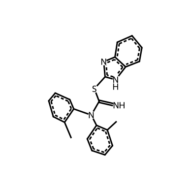 Cc1ccccc1N(C(=N)Sc1nc2ccccc2[nH]1)c1ccccc1C